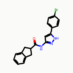 O=C(Nc1cc(-c2ccc(Br)cc2)[nH]n1)C1Cc2ccccc2C1